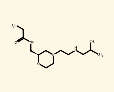 CCC(=O)NC[C@H]1CN(CCNCC(C)C)CCO1